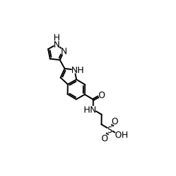 O=C(NCCS(=O)(=O)O)c1ccc2cc(-c3cc[nH]n3)[nH]c2c1